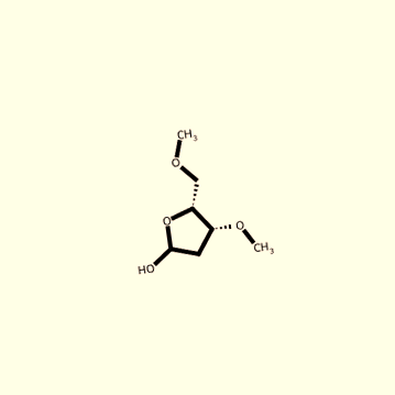 COC[C@H]1OC(O)C[C@H]1OC